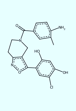 Cc1cc(C(=O)N2CCc3noc(-c4cc(Cl)c(O)cc4O)c3C2)ccc1N